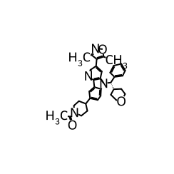 CC(=O)N1CCC(c2ccc3c(c2)c2ncc(-c4c(C)noc4C)cc2n3[C@H](c2ccccc2)C2CCOCC2)CC1